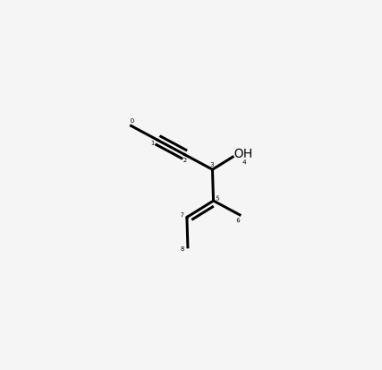 CC#CC(O)C(C)=CC